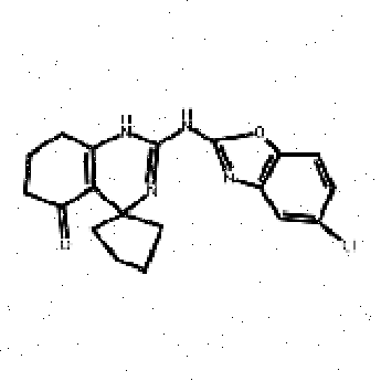 O=C1CCCC2=C1C1(CCCC1)N=C(Nc1nc3cc(Cl)ccc3o1)N2